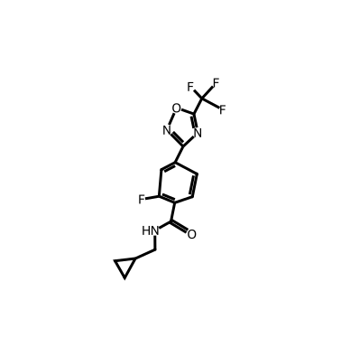 O=C(NCC1CC1)c1ccc(-c2noc(C(F)(F)F)n2)cc1F